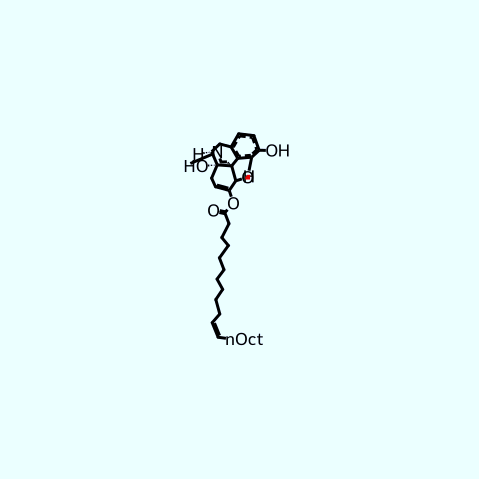 CCCCCCCC/C=C\CCCCCCCCCC(=O)OC1=CC[C@@]2(O)[C@H]3Cc4ccc(O)c5c4[C@@]2(CCN3C)[C@H]1O5